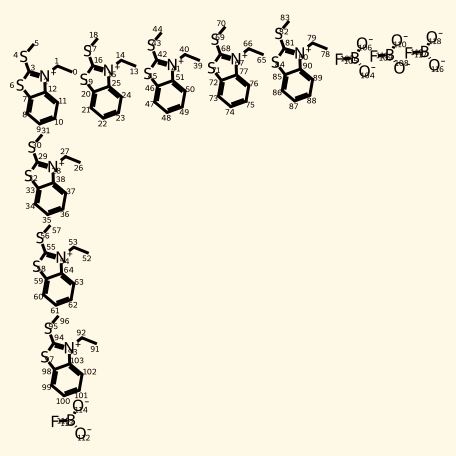 CC[n+]1c(SC)sc2ccccc21.CC[n+]1c(SC)sc2ccccc21.CC[n+]1c(SC)sc2ccccc21.CC[n+]1c(SC)sc2ccccc21.CC[n+]1c(SC)sc2ccccc21.CC[n+]1c(SC)sc2ccccc21.CC[n+]1c(SC)sc2ccccc21.CC[n+]1c(SC)sc2ccccc21.[O-]B([O-])F.[O-]B([O-])F.[O-]B([O-])F.[O-]B([O-])F